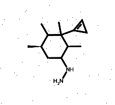 CC1C(NN)C[C@@H](C)C(C)C1(C)C1=CC1